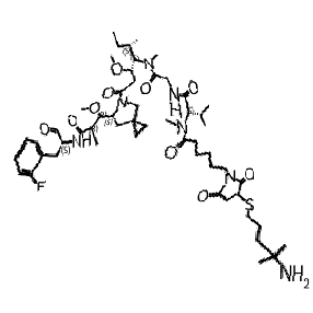 CC[C@H](C)[C@@H](C(CC(=O)N1CC2(CC2)C[C@H]1[C@H](OC)[C@@H](C)C(=O)N[C@H](C=O)Cc1ccccc1F)OC)N(C)C(=O)CNC(=O)[C@H](C(C)C)N(C)C(=O)CCCCCN1C(=O)CC(SCCCC(C)(C)N)C1=O